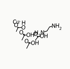 CC(=O)O.CC(=O)O.CC(=O)O.CC(=O)O.NCCN.[Cu]